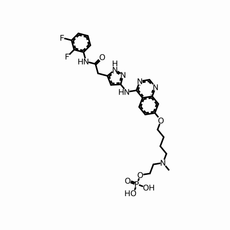 CN(CCCCOc1ccc2c(Nc3cc(CC(=O)Nc4cccc(F)c4F)[nH]n3)ncnc2c1)CCOP(=O)(O)O